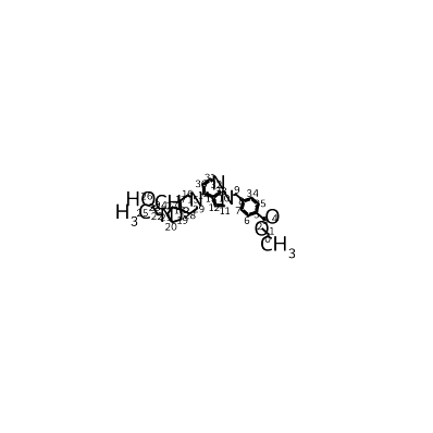 CCOC(=O)c1ccc(Cn2ccc3c(N4CCC5(CCN(CC(C)(C)O)C5)CC4)ccnc32)cc1